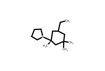 CCC1CC(C)(C)C[C@](C)(N2CCCC2)C1